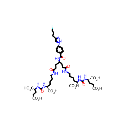 O=C(O)CC[C@H](NC(=O)N[C@@H](CCCCNC(=O)CCC(CCC(=O)NCCCC[C@H](NC(=O)N[C@@H](CCC(=O)O)C(=O)O)C(=O)O)NC(=O)c1ccc(-n2cc(CCCF)nn2)cc1)C(=O)O)C(=O)O